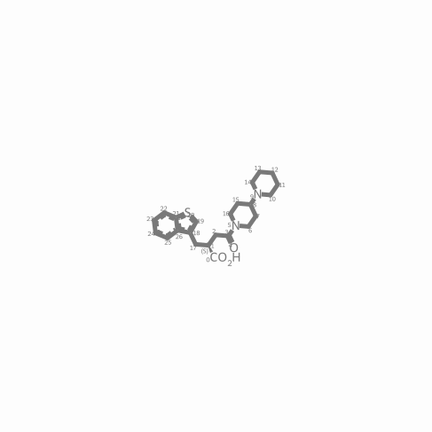 O=C(O)[C@H](CC(=O)N1CCC(N2CCCCC2)CC1)Cc1csc2ccccc12